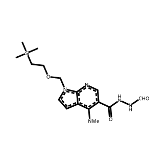 CNc1c(C(=O)NNC=O)cnc2c1ccn2COCC[Si](C)(C)C